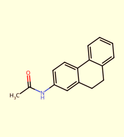 CC(=O)Nc1ccc2c(c1)CCc1ccccc1-2